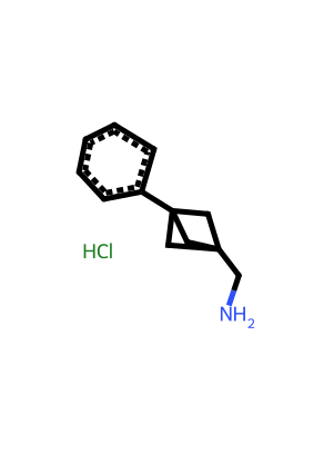 Cl.NCC12CC(c3ccccc3)(C1)C2